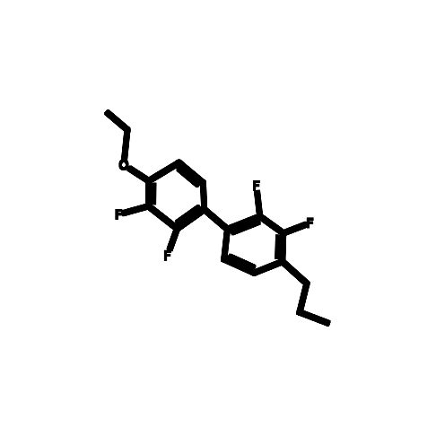 CCCc1ccc(-c2ccc(OCC)c(F)c2F)c(F)c1F